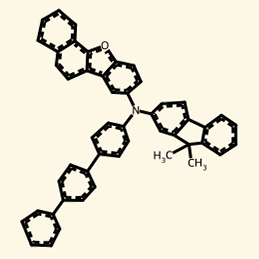 CC1(C)c2ccccc2-c2ccc(N(c3ccc(-c4ccc(-c5ccccc5)cc4)cc3)c3ccc4oc5c6ccccc6ccc5c4c3)cc21